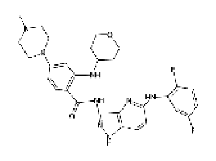 CN1CCN(c2ccc(C(=O)Nc3n[nH]c4ccc(Nc5cc(F)ccc5F)nc34)c(NC3CCOCC3)c2)CC1